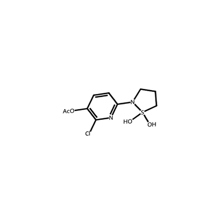 CC(=O)Oc1ccc(N2CCCS2(O)O)nc1Cl